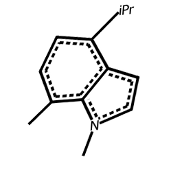 Cc1ccc(C(C)C)c2ccn(C)c12